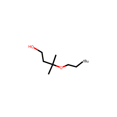 CC(C)(C)CCOC(C)(C)CCO